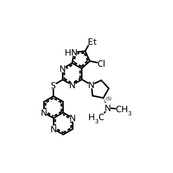 CCc1[nH]c2nc(Sc3cnc4nccnc4c3)nc(N3CC[C@H](N(C)C)C3)c2c1Cl